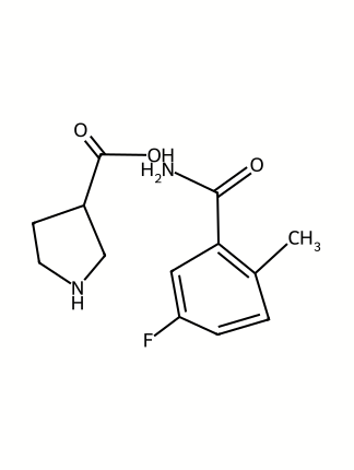 Cc1ccc(F)cc1C(N)=O.O=C(O)C1CCNC1